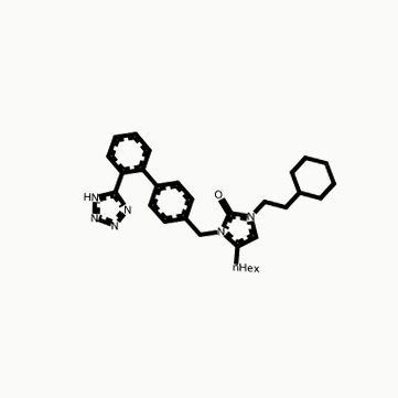 CCCCCCc1cn(CCC2CCCCC2)c(=O)n1Cc1ccc(-c2ccccc2-c2nnn[nH]2)cc1